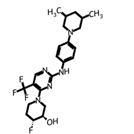 CC1CC(C)CN(c2ccc(Nc3ncc(C(F)(F)F)c(N4CC[C@@H](F)[C@H](O)C4)n3)cc2)C1